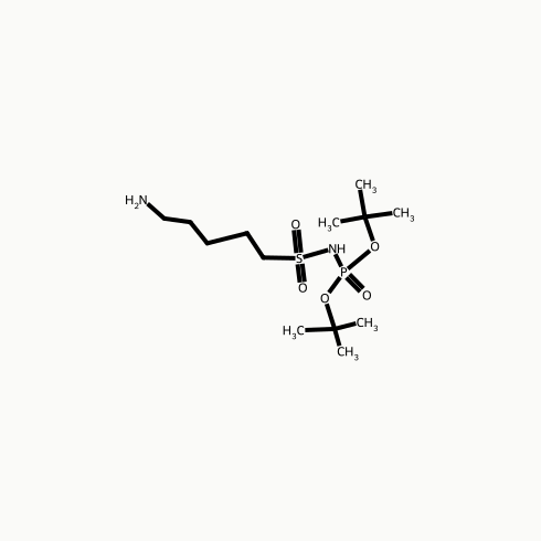 CC(C)(C)OP(=O)(NS(=O)(=O)CCCCCN)OC(C)(C)C